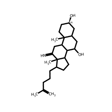 C=C(C)CCCC1CCC2C3C(O)CC4C[C@H](O)CCC4(C)C3CC(=N)C12C